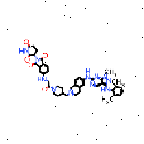 Cc1cccc(C)c1Nc1nn(C)c2nc(Nc3ccc4c(c3)CCN(CC3CCN(C(=O)CNc5ccc6c(c5)C(=O)N(C5CCC(=O)NC5=O)C6=O)CC3)C4)ncc12